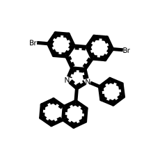 Brc1ccc2c3ccc(Br)cc3c3c(nc(-c4cccc5ccccc45)n3-c3ccccc3)c2c1